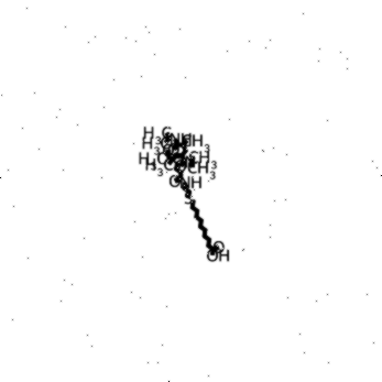 CC(=O)C(C)(CC(CC(C)C(=O)NC(C)C)C(=O)N(C)C)SCCC(=O)NCCSCCCCCCCCCCC(=O)O